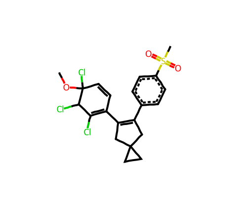 COC1(Cl)C=CC(C2=C(c3ccc(S(C)(=O)=O)cc3)CC3(CC3)C2)=C(Cl)C1Cl